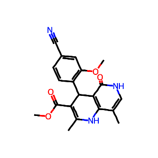 COC(=O)C1=C(C)Nc2c(C)c[nH]c(=O)c2C1c1ccc(C#N)cc1OC